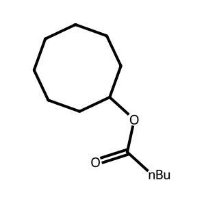 [CH2]CCCC(=O)OC1CCCCCCC1